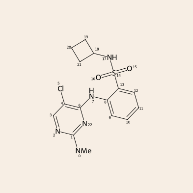 CNc1ncc(Cl)c(Nc2ccccc2S(=O)(=O)NC2CCC2)n1